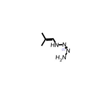 CC(C)=CN/N=N\N